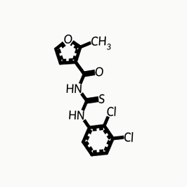 Cc1occc1C(=O)NC(=S)Nc1cccc(Cl)c1Cl